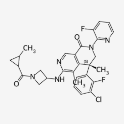 Cc1c(NC2CN(C(=O)C3CC3C)C2)ncc2c1[C@@](C)(c1cccc(Cl)c1F)CN(c1ncccc1F)C2=O